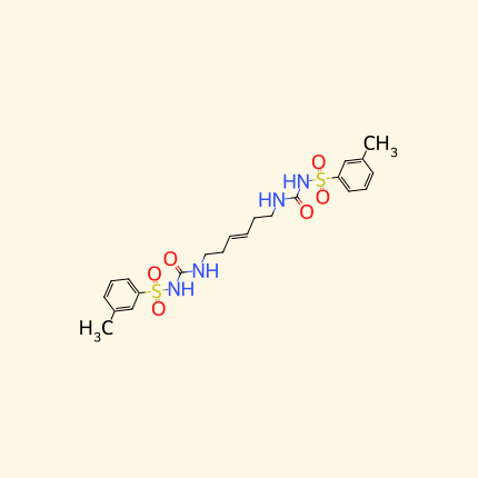 Cc1cccc(S(=O)(=O)NC(=O)NCCC=CCCNC(=O)NS(=O)(=O)c2cccc(C)c2)c1